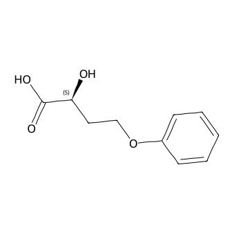 O=C(O)[C@@H](O)CCOc1ccccc1